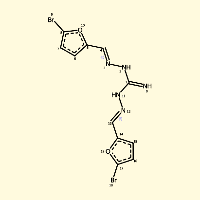 N=C(N/N=C/c1ccc(Br)o1)N/N=C/c1ccc(Br)o1